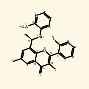 Cc1cc([C@@H](C)Nc2cccnc2C(=O)O)c2oc(-c3ccccc3F)c(C)c(=O)c2c1